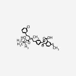 CSc1ccc(S(=O)(=O)c2ccc(C[C@@H](C)N(C[C@H](O)c3cccc(Cl)c3)C(=O)OC(C)(C)C)cc2)c(C(=O)O)c1